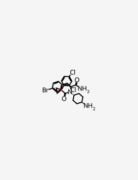 NC(=O)[C@H](Cc1ccc(Br)cc1)N(C(=O)C1(c2ccc(Cl)cc2Cl)CC1)[C@H]1CC[C@H](N)CC1